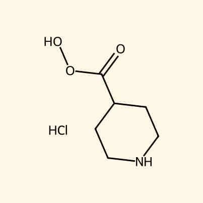 Cl.O=C(OO)C1CCNCC1